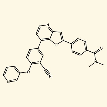 CN(C)C(=O)c1ccc(-c2cc3nccc(-c4ccc(Oc5cccnc5)c(C#N)c4)c3o2)cc1